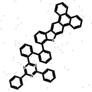 c1ccc(-c2nc(-c3ccccc3)nc(-c3ccccc3-c3ccccc3-c3cccc4c3sc3cc5c6ccccc6c6ccccc6c5cc34)n2)cc1